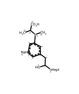 CCCCCCCC(O)Cc1cccc(N(C)C(C)C(=O)O)c1.[NaH]